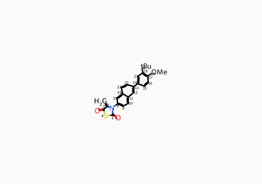 C=C1C(=O)SC(=O)N1c1ccc2cc(-c3ccc(OC)c(C(C)(C)C)c3)ccc2c1